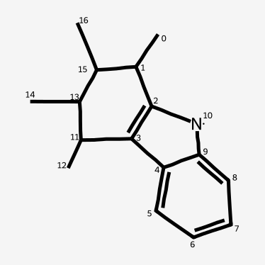 CC1C2=C(c3ccccc3[N]2)C(C)C(C)C1C